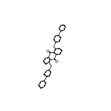 O=C1c2cccc(Sc3ccc(-c4ccccc4)cc3)c2C(=O)c2cccc(Sc3ccc(-c4ccccc4)cc3)c21